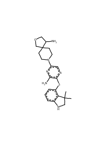 CC1(C)CNc2cccc(Sc3ncc(N4CCC5(CC4)COCC5N)nc3N)c21